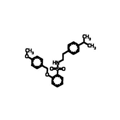 COc1ccc(COc2ccccc2S(=O)(=O)NCCc2ccc(C(C)C)cc2)cc1